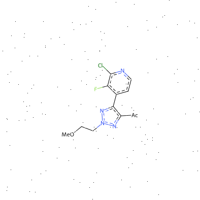 COCCn1nc(C(C)=O)c(-c2ccnc(Cl)c2F)n1